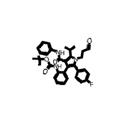 CC(C)c1c(C(=O)Nc2ccccc2)c(-c2ccccc2NC(=O)OC(C)(C)C)c(-c2ccc(F)cc2)n1CCC=O